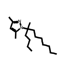 CCCCCCCC(C)(CCCC)n1nc(C)cc1C